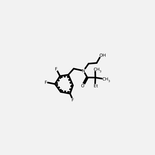 CCC(C)(C)C(=O)N(CCO)Cc1cc(F)cc(F)c1F